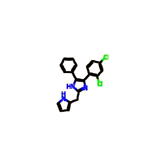 Clc1ccc(-c2nc(Cc3ccc[nH]3)[nH]c2-c2ccccc2)c(Cl)c1